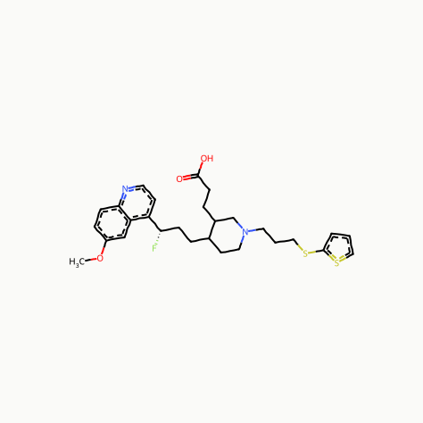 COc1ccc2nccc([C@@H](F)CCC3CCN(CCCSc4cccs4)CC3CCC(=O)O)c2c1